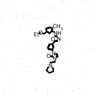 CCOCc1ccc(C)c(Nc2ncc(-c3cccc(-n4ccn(CCN5CCCCC5)c4=O)c3)o2)c1